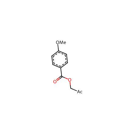 COc1ccc(C(=O)OCC(C)=O)cc1